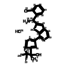 CC(O)(c1ccnc(-c2nccc3cc([C@H](N)c4ccccc4Cl)sc23)c1)C(F)(F)F.Cl